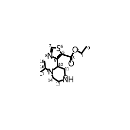 CCOC(=O)c1scnc1C1CNCCN1C(C)C